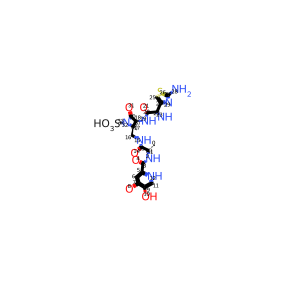 C[C@H](NC(=O)c1cc(=O)c(O)c[nH]1)C(=O)NC[C@@H]1[C@H](NC(=O)C(=N)c2csc(N)n2)C(=O)N1S(=O)(=O)O